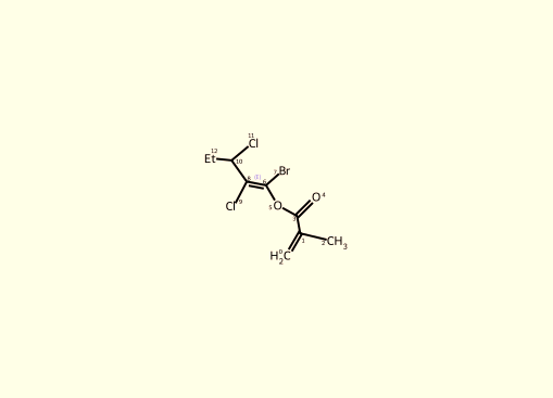 C=C(C)C(=O)O/C(Br)=C(\Cl)C(Cl)CC